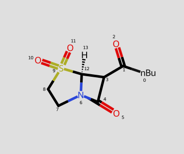 CCCCC(=O)C1C(=O)N2CCS(=O)(=O)[C@@H]12